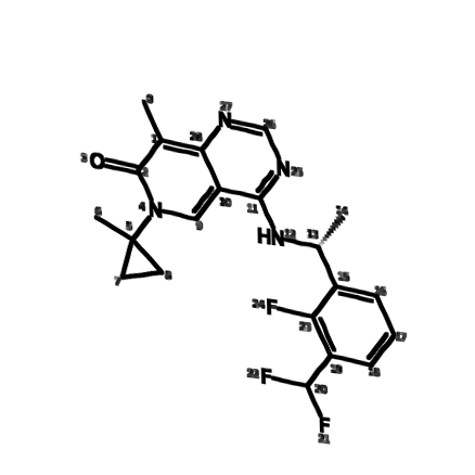 Cc1c(=O)n(C2(C)CC2)cc2c(N[C@H](C)c3cccc(C(F)F)c3F)ncnc12